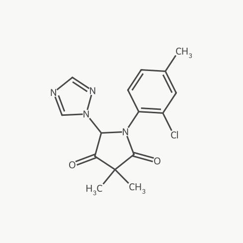 Cc1ccc(N2C(=O)C(C)(C)C(=O)C2n2cncn2)c(Cl)c1